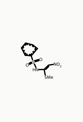 CSC(=C[N+](=O)[O-])NS(=O)(=O)c1ccccc1